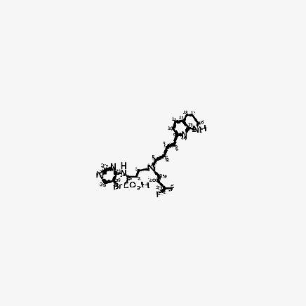 O=C(O)[C@H](CCN(CCCCc1ccc2c(n1)NCCC2)CCC(F)F)Nc1ncncc1Br